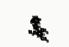 Cc1cc(C)c(N2CCN(C34CC5CC(C3)C3C(C5)C34)C2)c(C)c1